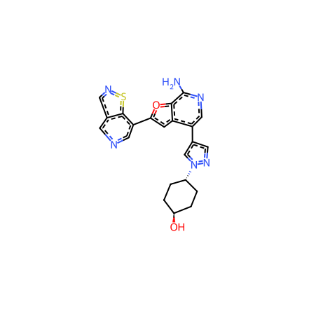 Nc1ncc(-c2cnn([C@H]3CC[C@H](O)CC3)c2)c2cc(-c3cncc4cnsc34)oc12